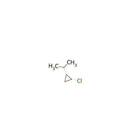 CC(C)[C@H]1C[C@H]1Cl